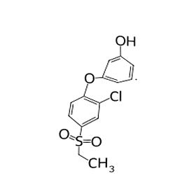 CCS(=O)(=O)c1ccc(Oc2c[c]cc(O)c2)c(Cl)c1